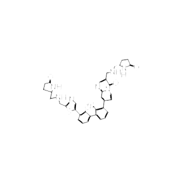 O=C1CCC(CNCc2ncc(-c3cccc(-c4cccc(-c5ccn6c(=O)c(CNC[C@@H]7CCC(=O)N7)cnc6c5)c4Cl)c3Cl)s2)N1